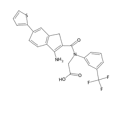 NC1=C(C(=O)N(CC(=O)O)c2cccc(C(F)(F)F)c2)Cc2cc(-c3cccs3)ccc21